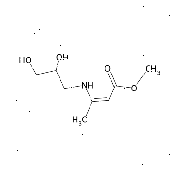 COC(=O)C=C(C)NCC(O)CO